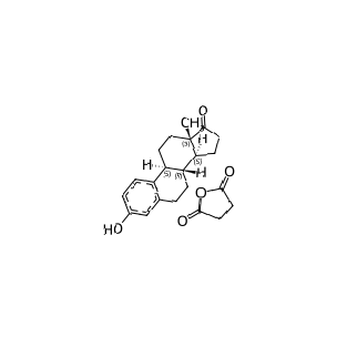 C[C@]12CC[C@@H]3c4ccc(O)cc4CC[C@H]3[C@@H]1CCC2=O.O=C1CCC(=O)O1